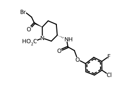 O=C(COc1ccc(Cl)c(F)c1)N[C@H]1CC[C@H](C(=O)CBr)N(C(=O)O)C1